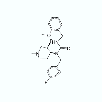 COc1ccccc1CNC(=O)N(Cc1ccc(F)cc1)[C@H]1CCN(C)C[C@H]1F